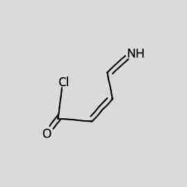 N=C/C=C\C(=O)Cl